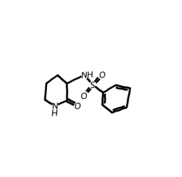 O=C1NCCCC1NS(=O)(=O)c1ccccc1